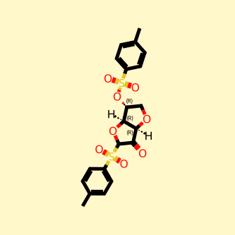 Cc1ccc(S(=O)(=O)O[C@@H]2CO[C@H]3C(=O)C(S(=O)(=O)c4ccc(C)cc4)O[C@@H]23)cc1